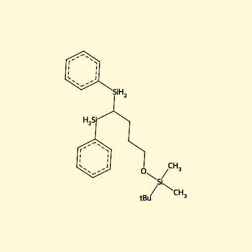 CC(C)(C)[Si](C)(C)OCCCC([SiH2]c1ccccc1)[SiH2]c1ccccc1